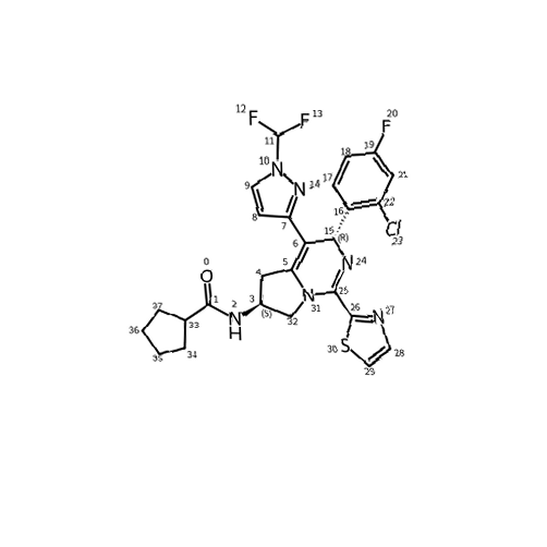 O=C(N[C@H]1CC2=C(c3ccn(C(F)F)n3)[C@H](c3ccc(F)cc3Cl)N=C(c3nccs3)N2C1)C1CCCC1